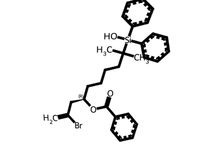 C=C(Br)C[C@@H](CCCCC(C)(C)[Si](O)(c1ccccc1)c1ccccc1)OC(=O)c1ccccc1